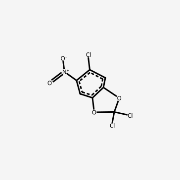 O=[N+]([O-])c1cc2c(cc1Cl)OC(Cl)(Cl)O2